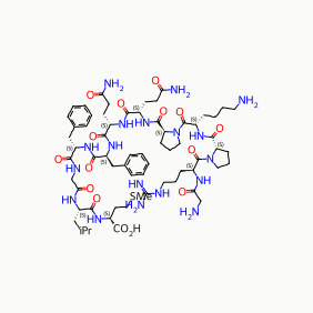 CSCC[C@H](NC(=O)[C@H](CC(C)C)NC(=O)CNC(=O)[C@H](Cc1ccccc1)NC(=O)[C@H](Cc1ccccc1)NC(=O)[C@H](CCC(N)=O)NC(=O)[C@H](CCC(N)=O)NC(=O)[C@@H]1CCCN1C(=O)[C@H](CCCCN)NC(=O)[C@@H]1CCCN1C(=O)[C@H](CCCNC(=N)N)NC(=O)CN)C(=O)O